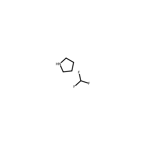 C1CCNC1.FC(F)F